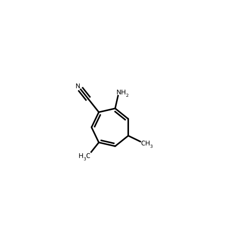 CC1=CC(C)C=C(N)C(C#N)=C1